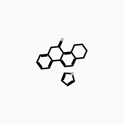 O=C1Cc2ccccc2-c2ccc3c(c21)CCCC3.c1ccoc1